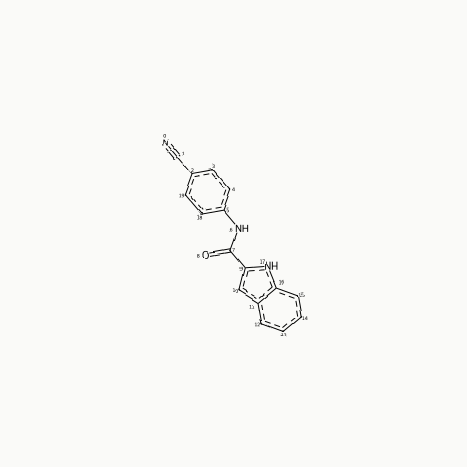 N#Cc1ccc(NC(=O)c2cc3ccccc3[nH]2)cc1